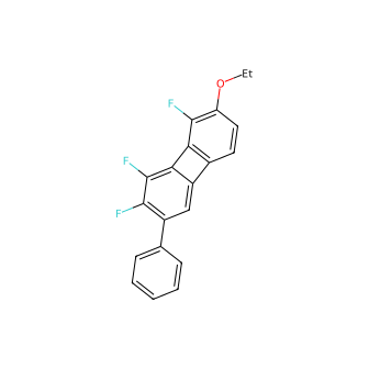 CCOc1ccc2c(c1F)-c1c-2cc(-c2ccccc2)c(F)c1F